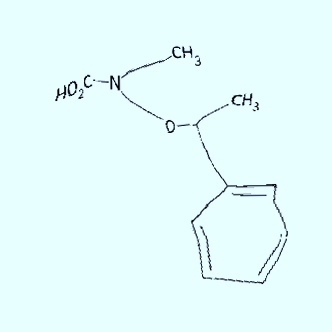 CC(ON(C)C(=O)O)c1ccccc1